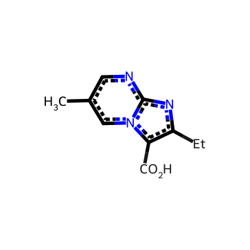 CCc1nc2ncc(C)cn2c1C(=O)O